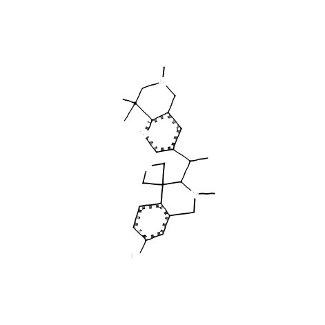 CC(C)c1ccc2c(c1)CN(C)C(C(C)c1cnc3c(c1)CN(C)CC3(C)O)C21COC1